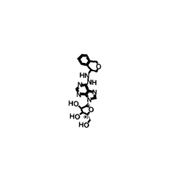 OC[C@H]1O[C@@H](n2cnc3c(NNC4COCc5ccccc54)ncnc32)C(O)C1O